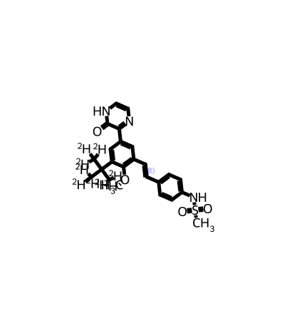 [2H]C([2H])([2H])C(c1cc(-c2ncc[nH]c2=O)cc(/C=C/c2ccc(NS(C)(=O)=O)cc2)c1OC)(C([2H])([2H])[2H])C([2H])([2H])[2H]